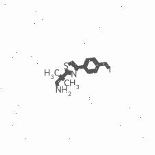 CC(C)(CN)c1nc(-c2ccc(CI)cc2)cs1